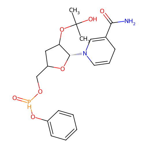 CC(C)(O)OC1CC(CO[PH](=O)Oc2ccccc2)O[C@H]1N1C=CCC(C(N)=O)=C1